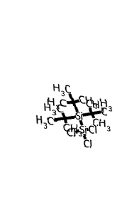 CC(C)(C)[Si](C(C)(C)C)(C(C)(C)C)[Si](Cl)(Cl)Cl